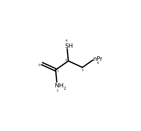 C=C(N)C(S)CCCC